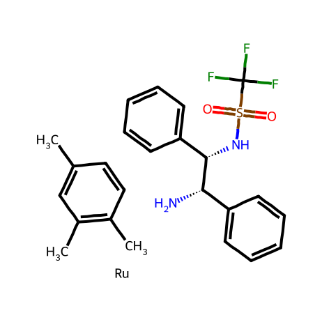 Cc1ccc(C)c(C)c1.N[C@@H](c1ccccc1)[C@@H](NS(=O)(=O)C(F)(F)F)c1ccccc1.[Ru]